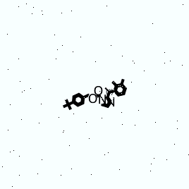 Cc1cccc([C@H](C)c2nccn2C(=O)OCc2ccc(C(C)(C)C)cc2)c1C